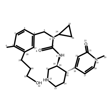 Cc1ccc(CN(C(=O)N[C@@H]2CNCC[C@H]2c2ccn(C)c(=O)c2)C2CC2)cc1CCCO